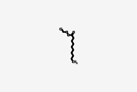 CCCCCCCCCC(=O)OOCCl